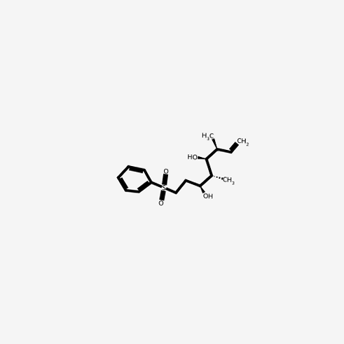 C=C[C@H](C)[C@H](O)[C@H](C)[C@@H](O)CCS(=O)(=O)c1ccccc1